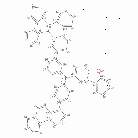 c1ccc(-c2c(-c3ccccc3)c3cc(-c4cccc(N(c5ccc(-c6cccc7c6ccc6ccccc67)cc5)c5ccc6oc7ccccc7c6c5)c4)ccc3c3ccccc23)cc1